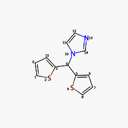 c1csc(C(c2cccs2)n2ccnc2)c1